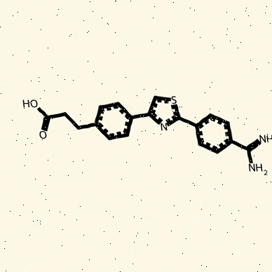 N=C(N)c1ccc(-c2nc(-c3ccc(CCC(=O)O)cc3)cs2)cc1